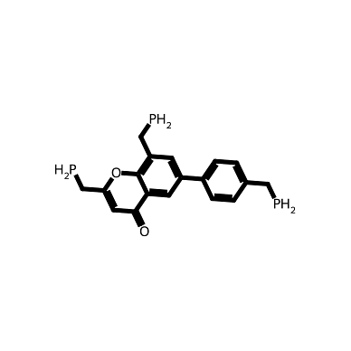 O=c1cc(CP)oc2c(CP)cc(-c3ccc(CP)cc3)cc12